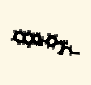 CCCC(=O)Nc1ccc(-c2nc3cc4ccccc4cc3[nH]2)cc1